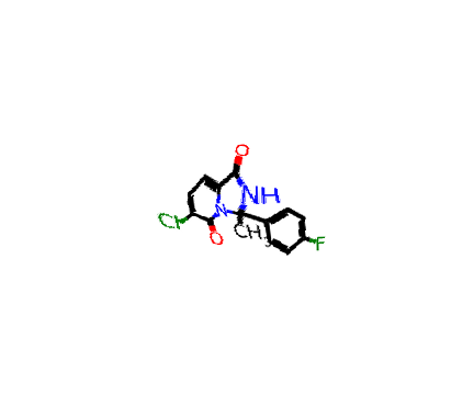 CC1(c2ccc(F)cc2)NC(=O)c2ccc(Cl)c(=O)n21